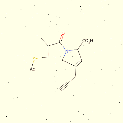 C#CCC1=CC(C(=O)O)N(C(=O)C(C)CSC(C)=O)C1